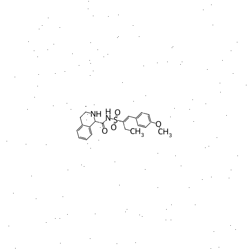 CCC(=Cc1ccc(OC)cc1)S(=O)(=O)NC(=O)C1NCCc2ccccc21